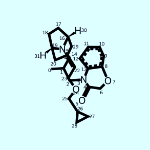 CC(CN1C(=O)COc2ccccc21)CN1[C@@H]2CC[C@H]1CC(=CCOCC1CC1)C2